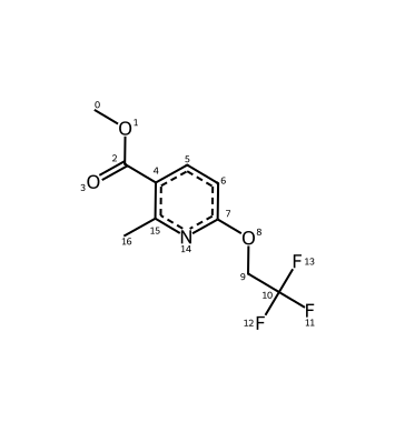 COC(=O)c1ccc(OCC(F)(F)F)nc1C